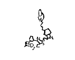 CCOC(=O)c1sc(-n2cnc3ccc(CCCCN4CCOCC4)cc32)nc1-c1cccc(Cl)c1